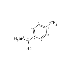 FC(F)(F)c1ccc(C([SiH3])Cl)cc1